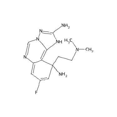 CN(C)CCC1(N)C=C(F)C=C2N=CN3N=C(N)NC3=C21